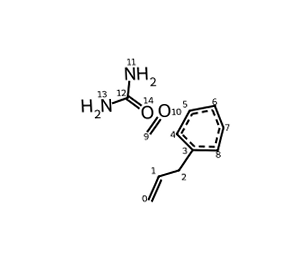 C=CCc1ccccc1.C=O.NC(N)=O